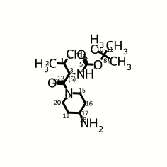 CC(C)[C@H](NC(=O)OC(C)(C)C)C(=O)N1CCC(N)CC1